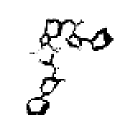 CN(Cc1ccc2c(c1)[C@@H](NC(=O)Oc1ccc(-c3ccccc3)cc1F)[C@H](O)C2)c1ncsc1-c1ccccc1